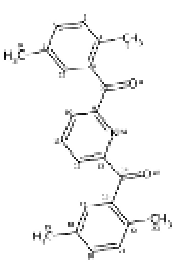 Cc1ccc(C)c(C(=O)c2cccc(C(=O)c3cc(C)ccc3C)n2)c1